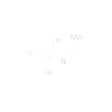 CN/C=N\C(C)(C)Cl